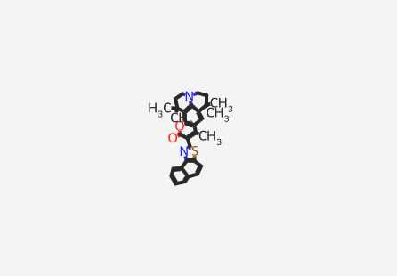 Cc1c(-c2nc3c(ccc4ccccc43)s2)c(=O)oc2c3c4c(cc12)C(C)(C)CCN4CCC3(C)C